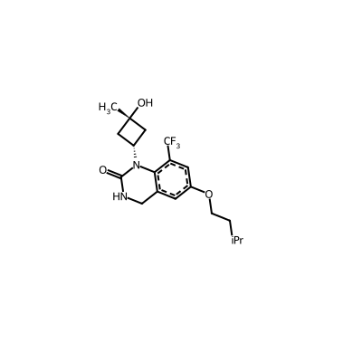 CC(C)CCOc1cc2c(c(C(F)(F)F)c1)N([C@H]1C[C@@](C)(O)C1)C(=O)NC2